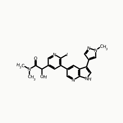 CN(C)C(=O)C(O)c1cnc(I)c(-c2cnc3[nH]cc(-c4cnn(C)c4)c3c2)c1